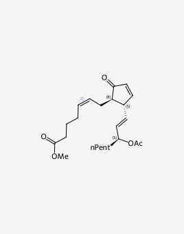 CCCCC[C@@H](C=C[C@H]1C=CC(=O)[C@@H]1C/C=C\CCCC(=O)OC)OC(C)=O